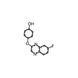 Oc1ccc(Oc2cnc3ccc(F)cc3n2)cc1